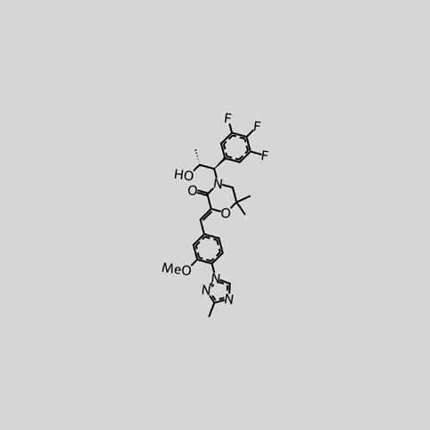 COc1cc(/C=C2\OC(C)(C)CN([C@H](c3cc(F)c(F)c(F)c3)[C@@H](C)O)C2=O)ccc1-n1cnc(C)n1